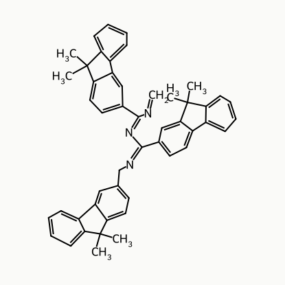 C=N/C(=N\C(=N/Cc1ccc2c(c1)-c1ccccc1C2(C)C)c1ccc2c(c1)C(C)(C)c1ccccc1-2)c1ccc2c(c1)-c1ccccc1C2(C)C